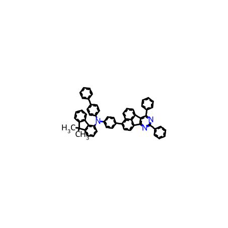 CC1(C)c2ccccc2-c2c(N(c3ccc(-c4ccccc4)cc3)c3ccc(-c4ccc5c6c(cccc46)-c4c(-c6ccccc6)nc(-c6ccccc6)nc4-5)cc3)cccc21